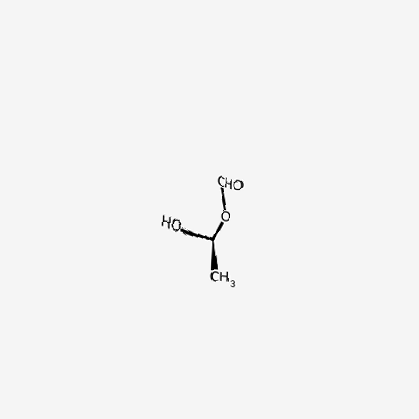 C[C@@H](O)OC=O